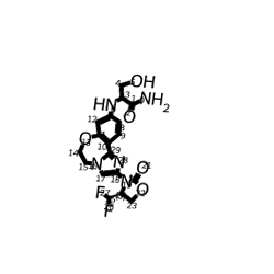 NC(=O)C(CO)Nc1ccc2c(c1)OCCn1cc(N3C(=O)OC[C@H]3C(F)F)nc1-2